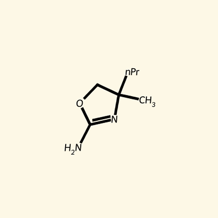 CCCC1(C)COC(N)=N1